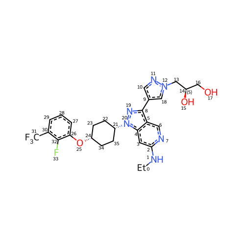 CCNc1cc2c(cn1)c(-c1cnn(C[C@H](O)CO)c1)nn2[C@H]1CC[C@@H](Oc2cccc(C(F)(F)F)c2F)CC1